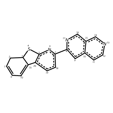 C1=CCC2Sc3nc(-c4cc5ccncc5cn4)ccc3C2=C1